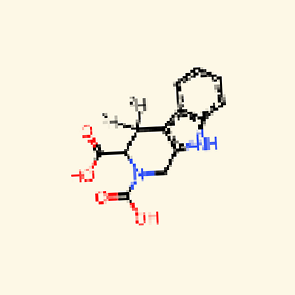 [2H]C1([2H])c2c([nH]c3ccccc23)CN(C(=O)O)C1C(=O)O